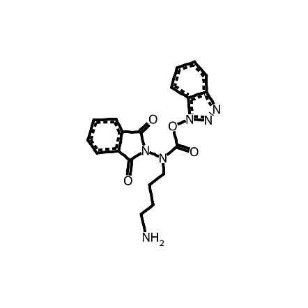 NCCCCN(C(=O)On1nnc2ccccc21)N1C(=O)c2ccccc2C1=O